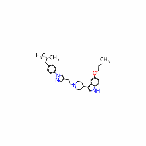 CCCCOc1ccc2[nH]cc(C3CCN(CCc4cnn(-c5ccc(CC(C)C)cc5)c4)CC3)c2c1